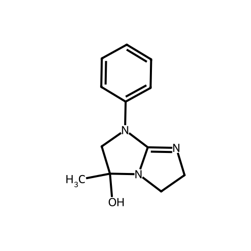 CC1(O)CN(c2ccccc2)C2=NCCN21